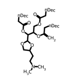 C=C(CCCCCCCCCCC)OC(COC(=O)CCCCCCCCCCC)C(OC(=O)CCCCCCCCCCC)C1OCC(CCN(C)C)O1